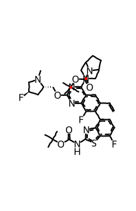 C=Cc1cc2c(N3CC4CCC(C3)N4C(=O)OC(C)(C)C)nc(OC[C@@H]3C[C@@H](F)CN3C)nc2c(F)c1-c1ccc(F)c2sc(NC(=O)OC(C)(C)C)nc12